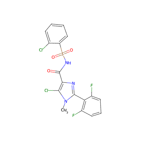 Cn1c(-c2c(F)cccc2F)nc(C(=O)NS(=O)(=O)c2ccccc2Cl)c1Cl